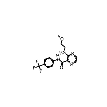 COCCNc1nccnc1C(=O)Nc1ccc(C(F)(F)F)cc1